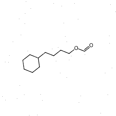 O=COCCCCC1CCCCC1